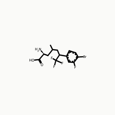 CC(CC(c1ccc(Br)c(F)c1)C(F)(F)F)C[C@H](N)C(=O)O